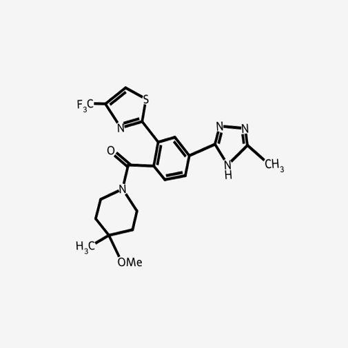 COC1(C)CCN(C(=O)c2ccc(-c3nnc(C)[nH]3)cc2-c2nc(C(F)(F)F)cs2)CC1